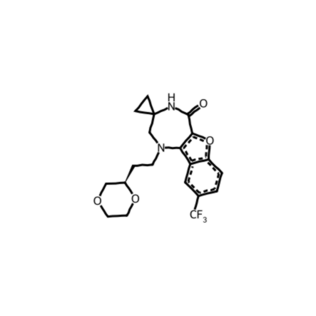 O=C1NC2(CC2)CN(CC[C@@H]2COCCO2)c2c1oc1ccc(C(F)(F)F)cc21